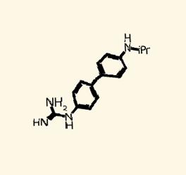 CC(C)Nc1ccc(-c2ccc(NC(=N)N)cc2)cc1